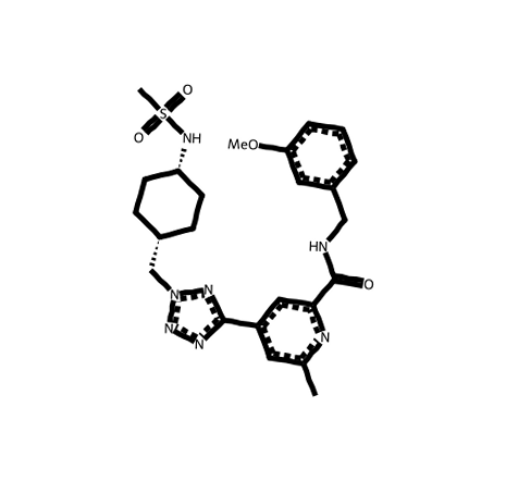 COc1cccc(CNC(=O)c2cc(-c3nnn(C[C@H]4CC[C@@H](NS(C)(=O)=O)CC4)n3)cc(C)n2)c1